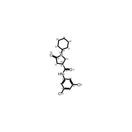 O=C(Nc1cc(Cl)cc(Cl)c1)[C@H]1CC(=O)N(C2CCCCC2)C1